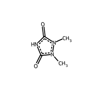 Cn1c(=O)[nH]c(=O)n1C